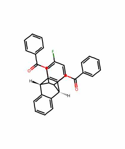 O=C(OC1C(OC(=O)c2ccccc2)[C@@H]2c3ccccc3[C@@H]1c1ccc(F)cc12)c1ccccc1